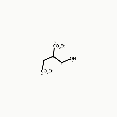 CCOC(=O)CC(CO)C(=O)OCC